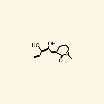 C=C/C(O)=C(O)\C=C1/CCCN(C)C1=O